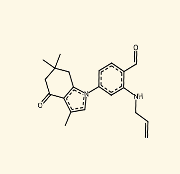 C=CCNc1cc(-n2cc(C)c3c2CC(C)(C)CC3=O)ccc1C=O